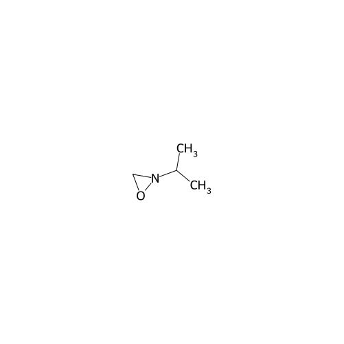 CC(C)N1CO1